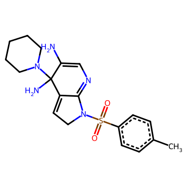 Cc1ccc(S(=O)(=O)N2CC=C3C2=NC=C(N)C3(N)N2CCCCC2)cc1